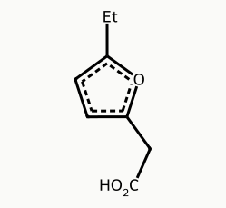 CCc1ccc(CC(=O)O)o1